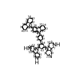 C1=NCCC2C1C1CNCCC1N2c1cc(-c2ccc(-n3c4ccccc4c4cc(-n5c6ccccc6c6ccccc65)ccc43)cc2)cc(N2C3CCNCC3C3CNCCC32)c1